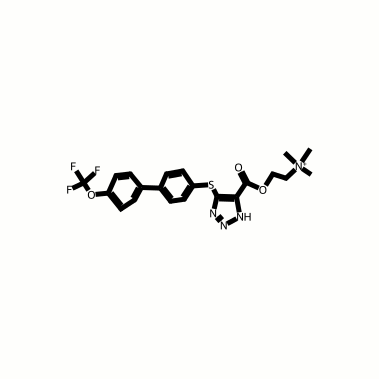 C[N+](C)(C)CCOC(=O)c1[nH]nnc1Sc1ccc(-c2ccc(OC(F)(F)F)cc2)cc1